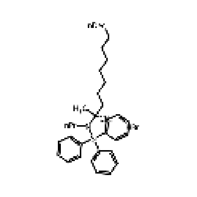 Br.CCCCCCCCCCCCCCCCCC(C)(C)N(CCC)[Si](c1ccccc1)(c1ccccc1)c1ccccc1